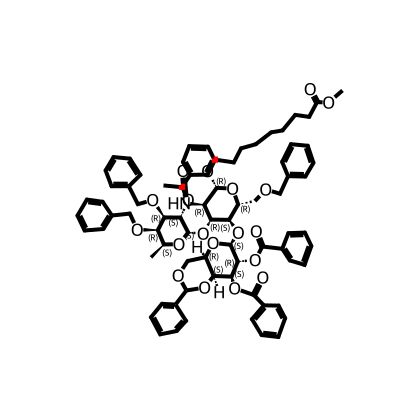 COC(=O)CCCCCCCCO[C@@H]1O[C@H](COCc2ccccc2)[C@@H](O[C@@H]2O[C@@H]3COC(c4ccccc4)O[C@@H]3[C@H](OC(=O)c3ccccc3)[C@H]2OC(=O)c2ccccc2)[C@H](O[C@@H]2O[C@@H](C)[C@@H](OCc3ccccc3)[C@@H](OCc3ccccc3)[C@@H]2OCc2ccccc2)[C@H]1NC(C)=O